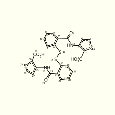 O=C(Nc1ccsc1C(=O)O)c1ccccc1SSc1ccccc1C(=O)Nc1ccsc1C(=O)O